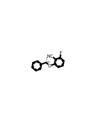 C[C@H](Oc1cccc(F)c1C#N)c1ccccc1